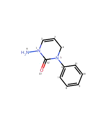 NN1C=CCN(c2ccccc2)C1=O